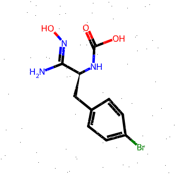 N/C(=N\O)[C@H](Cc1ccc(Br)cc1)NC(=O)O